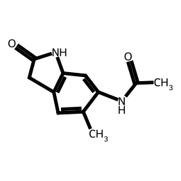 CC(=O)Nc1cc2c(cc1C)CC(=O)N2